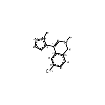 CN1C=C(c2ccnn2C)c2cc(Cl)ccc2C1